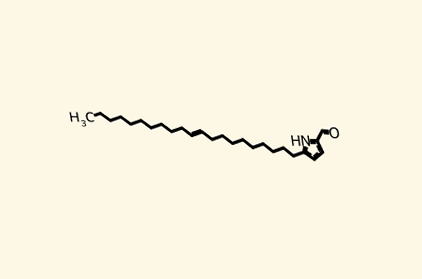 CCCCCCCCCCC=CCCCCCCCCCc1ccc(C=O)[nH]1